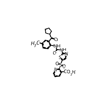 Cc1ccc(NC(=O)Nc2ncc(S(=O)(=O)c3ncccc3C(=O)O)s2)c(C(=O)C2CCCC2)c1